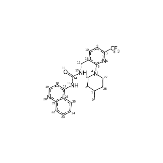 CC1CCN(c2nc(C(F)(F)F)ccc2CNC(=O)Nc2ccnc3ccccc23)CC1